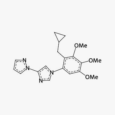 COc1cc(-n2cnc(-n3cccn3)c2)c(CC2CC2)c(OC)c1OC